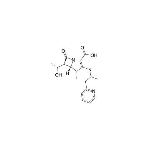 CC(Cc1ccccn1)SC1=C(C(=O)O)N2C(=O)[C@H]([C@@H](C)O)[C@H]2[C@H]1C